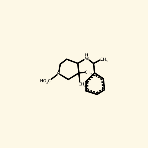 CC([AsH]C1CCN(C(=O)O)CC1(C)C)c1ccccc1